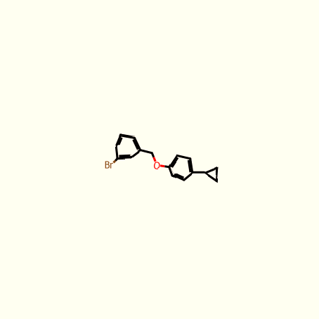 Brc1cccc(COc2ccc(C3CC3)cc2)c1